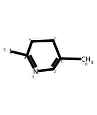 CC1=CN=C(I)CC1